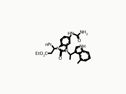 CCCC(CC(=O)OCC)n1c(=O)n(C(C)c2c[nH]c3cccc(C)c23)c2cc(NC(N)=O)ccc21